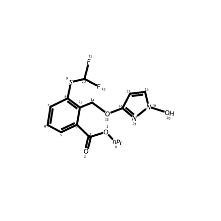 CCCOC(=O)c1cccc(SC(F)F)c1COc1ccn(O)n1